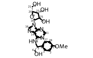 COc1ccc([C@H](CO)Nc2ncnc3c2ncn3[C@@H]2O[C@H](CO)[C@H](O)C2O)cc1